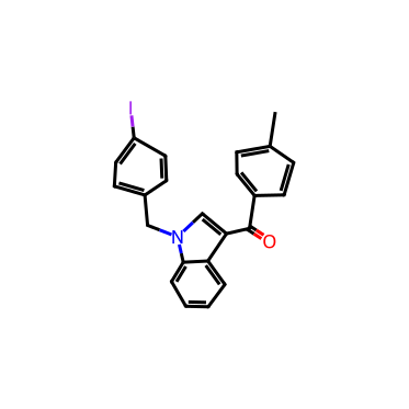 Cc1ccc(C(=O)c2cn(Cc3ccc(I)cc3)c3ccccc23)cc1